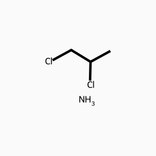 CC(Cl)CCl.N